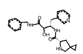 O=C(NCc1ccccc1)C(O)[C@H](Cc1cccnc1)NC(=O)[C@@H]1CC2(CC2)CN1